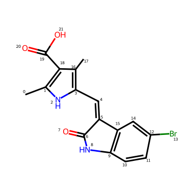 Cc1[nH]c(/C=C2\C(=O)Nc3ccc(Br)cc32)c(C)c1C(=O)O